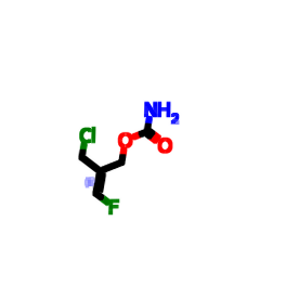 NC(=O)OC/C(=C\F)CCl